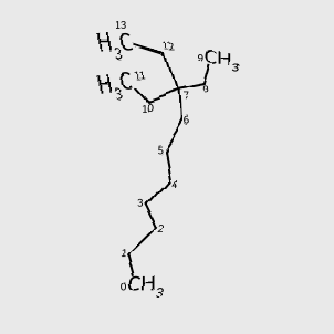 CCCCCCCC(CC)(CC)CC